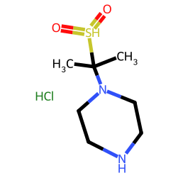 CC(C)(N1CCNCC1)[SH](=O)=O.Cl